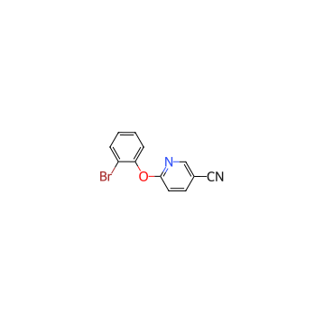 N#Cc1ccc(Oc2ccccc2Br)nc1